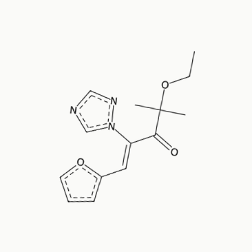 CCOC(C)(C)C(=O)/C(=C/c1ccco1)n1cncn1